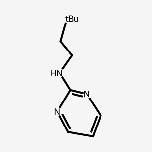 CC(C)(C)CCNc1ncccn1